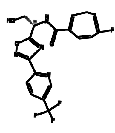 O=C(N[C@@H](CO)c1nc(-c2ccc(C(F)(F)F)cn2)no1)C1=CCC=C(F)C=C1